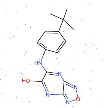 CC(C)(C)c1ccc(Nc2nc3nonc3nc2O)cc1